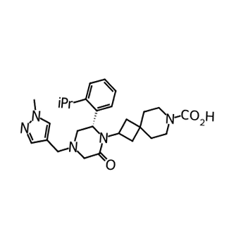 CC(C)c1ccccc1[C@H]1CN(Cc2cnn(C)c2)CC(=O)N1C1CC2(CCN(C(=O)O)CC2)C1